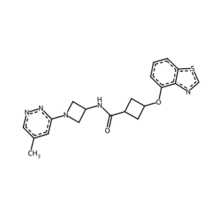 Cc1cnnc(N2CC(NC(=O)C3CC(Oc4cccc5scnc45)C3)C2)c1